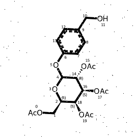 CC(=O)OC[C@H]1OC(Oc2ccc(CO)cc2)[C@H](OC(C)=O)[C@@H](OC(C)=O)[C@H]1OC(C)=O